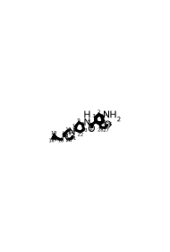 Nc1ccc(C(=O)N[C@H]2CC[C@@H](N3CCN(CC4CC4)CC3)CC2)c2c1OCC2